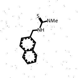 CNC(=S)NCc1ccc2ccccc2c1